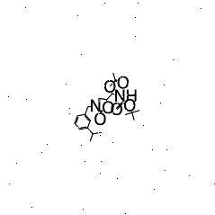 CC(=O)OC(NC(=O)OC(C)(C)C)C1CN(Cc2cccc(C(C)C)c2)C(=O)O1